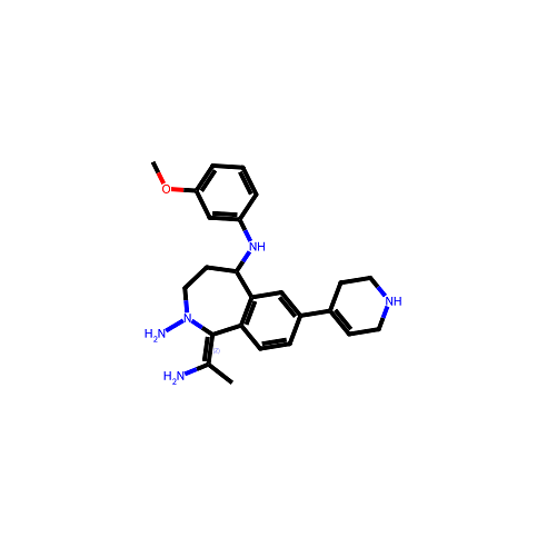 COc1cccc(NC2CCN(N)/C(=C(/C)N)c3ccc(C4=CCNCC4)cc32)c1